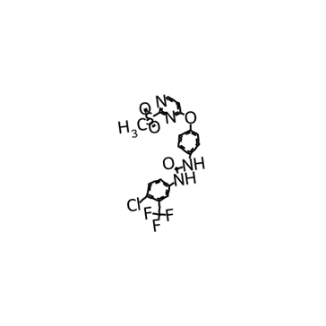 CS(=O)(=O)c1nccc(Oc2ccc(NC(=O)Nc3ccc(Cl)c(C(F)(F)F)c3)cc2)n1